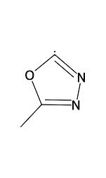 Cc1nn[c]o1